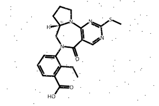 CCc1c(C(=O)O)cccc1N1C[C@@H]2CCCN2c2nc(SC)ncc2C1=O